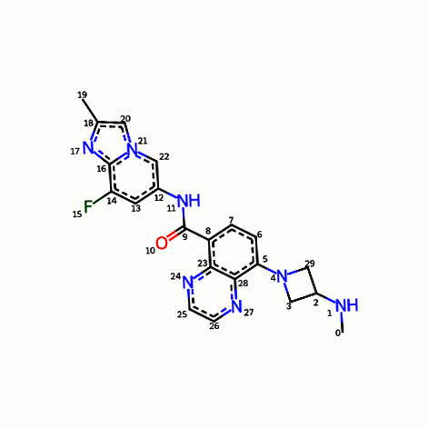 CNC1CN(c2ccc(C(=O)Nc3cc(F)c4nc(C)cn4c3)c3nccnc23)C1